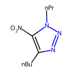 CCCCc1nnn(CCC)c1[N+](=O)[O-]